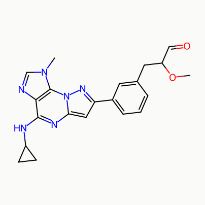 COC(C=O)Cc1cccc(-c2cc3nc(NC4CC4)c4ncn(C)c4n3n2)c1